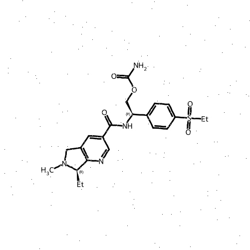 CC[C@@H]1c2ncc(C(=O)N[C@@H](COC(N)=O)c3ccc(S(=O)(=O)CC)cc3)cc2CN1C